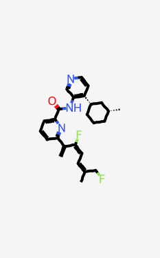 C=C(/C(F)=C\C=C(\C)CF)c1cccc(C(=O)Nc2cnccc2[C@H]2CCC[C@@H](C)C2)n1